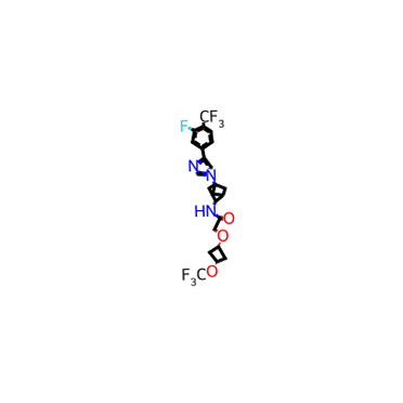 O=C(CO[C@H]1C[C@@H](OC(F)(F)F)C1)NC1CC2(n3cnc(-c4ccc(C(F)(F)F)c(F)c4)c3)CC1C2